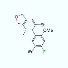 CCc1cc2c(c(C)c1-c1cc(C(C)C)c(F)cc1OC)COC2